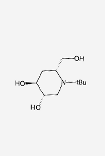 CC(C)(C)N1C[C@H](O)[C@@H](O)C[C@@H]1CO